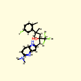 Cc1ccc(F)cc1C(C)(C)CC(O)(Cc1cc2nc(N(C)C)ccc2[nH]1)C(F)(F)F